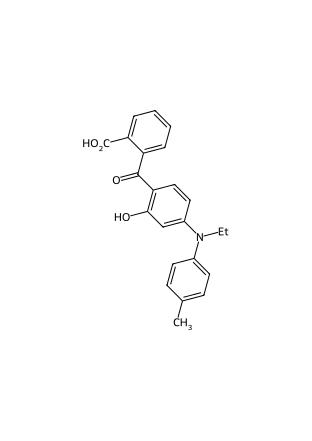 CCN(c1ccc(C)cc1)c1ccc(C(=O)c2ccccc2C(=O)O)c(O)c1